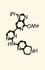 COc1nc(-c2ccnc(Nc3ccc4c(n3)CCNC4)n2)cc2c1ncn2C(C)C